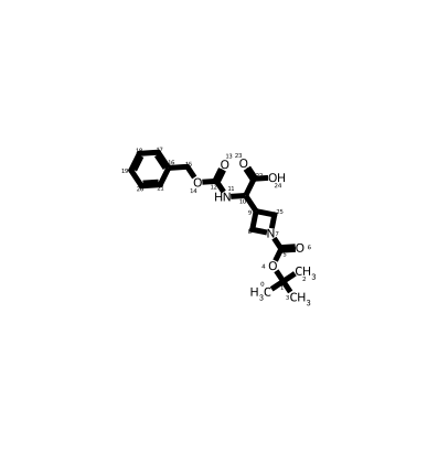 CC(C)(C)OC(=O)N1CC(C(NC(=O)OCc2ccccc2)C(=O)O)C1